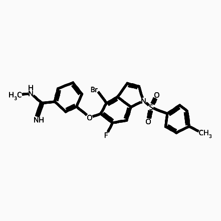 CNC(=N)c1cccc(Oc2c(F)cc3c(ccn3S(=O)(=O)c3ccc(C)cc3)c2Br)c1